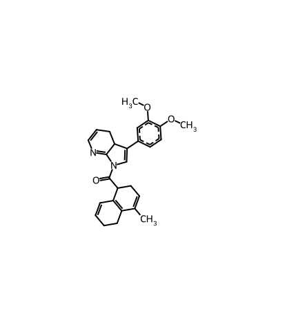 COc1ccc(C2=CN(C(=O)C3CC=C(C)C4=C3C=CCC4)C3=NC=CCC23)cc1OC